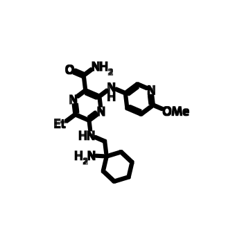 CCc1nc(C(N)=O)c(Nc2ccc(OC)nc2)nc1NCC1(N)CCCCC1